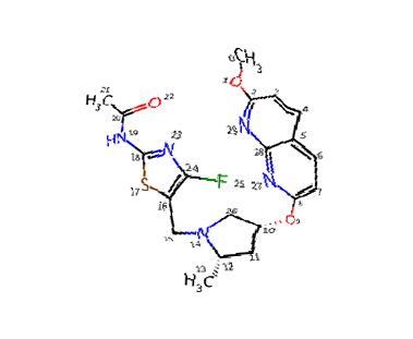 COc1ccc2ccc(O[C@@H]3C[C@H](C)N(Cc4sc(NC(C)=O)nc4F)C3)nc2n1